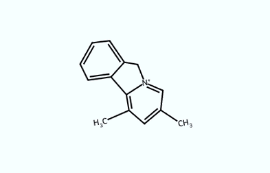 Cc1cc(C)c2[n+](c1)Cc1ccccc1-2